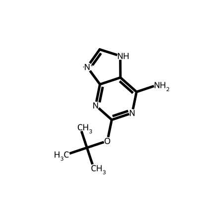 CC(C)(C)Oc1nc(N)c2c(n1)[N+]=CN2